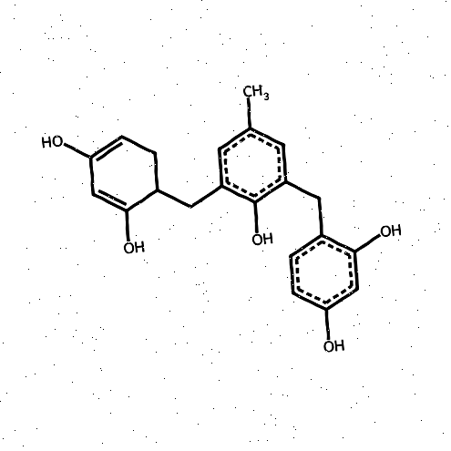 Cc1cc(Cc2ccc(O)cc2O)c(O)c(CC2CC=C(O)C=C2O)c1